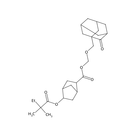 CCC(C)(C)C(=O)OC1CC2CC1CC2C(=O)OCOCC12CC3CC(CC(C3)C1=O)C2